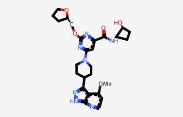 COc1ccnc2[nH]nc(C3CCN(c4cc(C(=O)N[C@H]5CC[C@@H]5O)nc(OC[C@H]5CCCO5)n4)CC3)c12